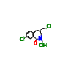 CN1CC(CCCl)Cc2ccc(Cl)cc2C1=O.Cl